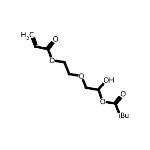 C=CC(=O)OCCOCC(O)OC(=O)C(C)CC